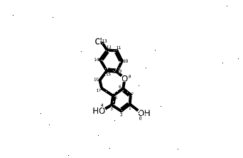 Oc1cc(O)c2c(c1)Oc1ccc(Cl)cc1CC2